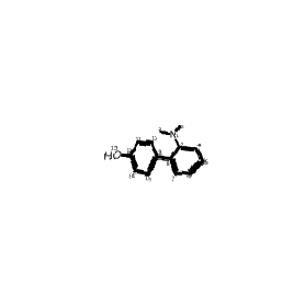 CN(C)c1ccccc1-c1ccc(O)cc1